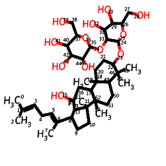 CC(C)=CCC=C(C)C1CCC2(C)C1C(O)CC1C3(C)CCC(OC4OC(CO)C(O)C(O)C4OC4OC(CO)C(O)C(O)C4O)C(C)(C)C3CCC12C